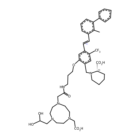 Cc1c(/C=C/c2cc(OCCCNC(=O)CN3CCN(CC(=O)O)CCN(CC(O)O)CC3)c(CN3CCCC[C@H]3C(=O)O)cc2C(F)(F)F)cccc1-c1ccccc1